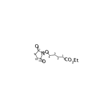 CCOC(=O)CCCCON1C(=O)CCC1=O